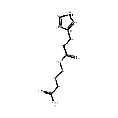 O=C(O)CCCOC(=O)CCc1c[nH]cn1